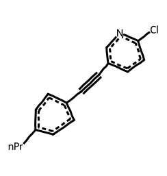 CCCc1ccc(C#Cc2ccc(Cl)nc2)cc1